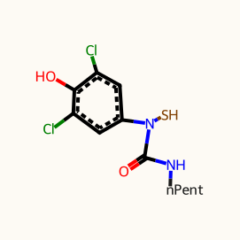 CCCCCNC(=O)N(S)c1cc(Cl)c(O)c(Cl)c1